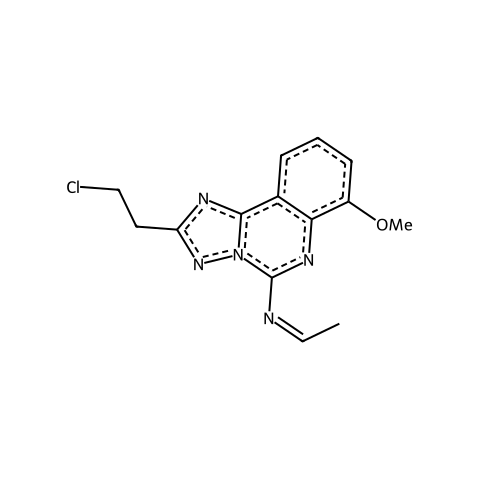 C/C=N\c1nc2c(OC)cccc2c2nc(CCCl)nn12